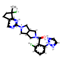 CC1(F)CCc2cnc(N3CC4CN(C(=O)c5c(F)cccc5-n5nccn5)CC4C3)nc21